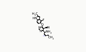 C=C/C=C\C(N)c1ncnc(Oc2ccc3[nH]c(C)cc3c2F)c1C#N